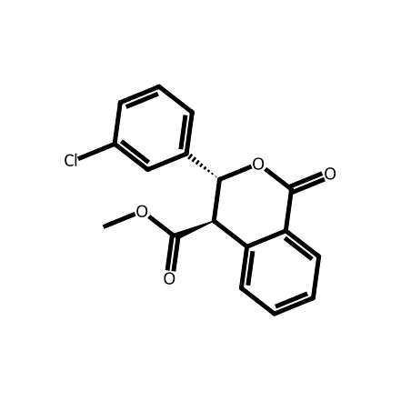 COC(=O)[C@@H]1c2ccccc2C(=O)O[C@H]1c1cccc(Cl)c1